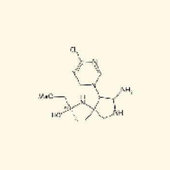 COC[C@](C)(O)NC1(C)CNC(N)C1N1C=NC(Cl)=NC1